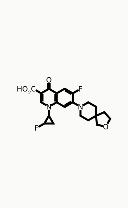 O=C(O)c1cn(C2CC2F)c2cc(N3CCC4(CCOC4)CC3)c(F)cc2c1=O